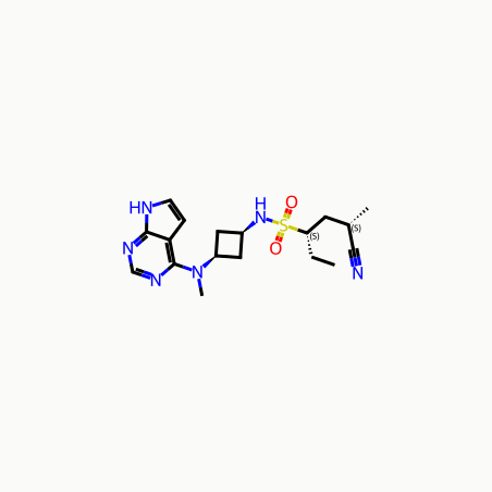 CC[C@@H](C[C@H](C)C#N)S(=O)(=O)N[C@H]1C[C@@H](N(C)c2ncnc3[nH]ccc23)C1